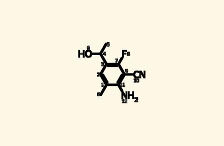 Cc1cc(C(C)O)c(F)c(C#N)c1N